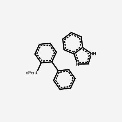 CCCCCc1ccccc1-c1ccccc1.c1ccc2[nH]cnc2c1